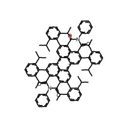 CC(C)c1cccc(C(C)C)c1-c1cc2c3cc(-c4c(C(C)C)cccc4C(C)C)c4c5c(c(-c6c(C(C)C)cccc6C(C)C)cc(c6cc(-c7c(C(C)C)cccc7C(C)C)c7c(c1C(=O)N(c1ccccc1)C7=O)c26)c53)C(=O)N(c1ccccc1)C4=O